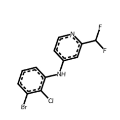 FC(F)c1cc(Nc2cccc(Br)c2Cl)ccn1